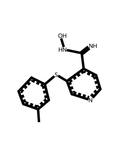 Cc1cccc(Sc2cnccc2C(=N)NO)c1